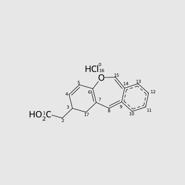 Cl.O=C(O)CC1C=CC2=C(C=c3ccccc3=CO2)C1